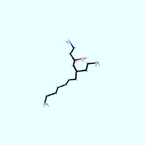 CCCCCCCC(CCC)CC(O)CCN